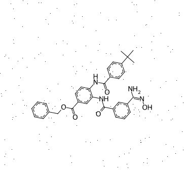 CC(C)(C)c1ccc(C(=O)Nc2ccc(C(=O)OCc3ccccc3)cc2NC(=O)c2cccc(/C(N)=N\O)c2)cc1